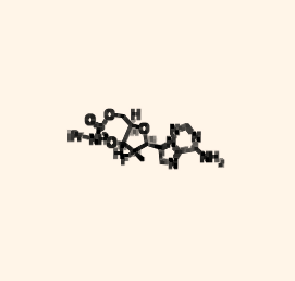 CC(C)NP1(=O)OC[C@H]2O[C@@H](c3cnc4c(N)ncnn34)[C@](C)(F)[C@@H]2O1